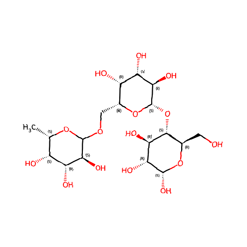 C[C@@H]1OC(OC[C@H]2O[C@@H](O[C@H]3[C@H](O)[C@@H](O)[C@@H](O)O[C@@H]3CO)[C@H](O)[C@@H](O)[C@H]2O)[C@@H](O)[C@H](O)[C@@H]1O